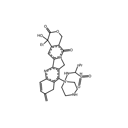 C=C1C=Cc2nc3c(c([N+]4(NC(CCC)[SH](=O)=O)CCNCC4)c2C1)Cn1c-3cc2c(c1=O)COC(=O)C2(O)CC